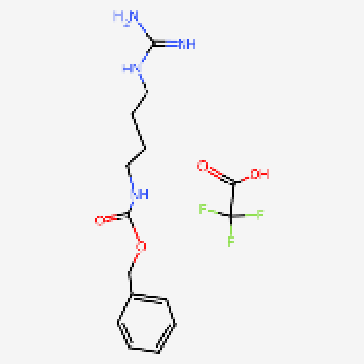 N=C(N)NCCCCNC(=O)OCc1ccccc1.O=C(O)C(F)(F)F